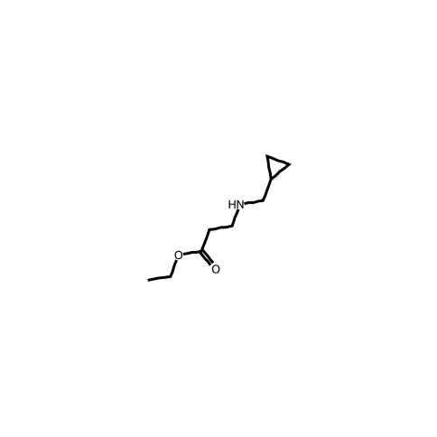 CCOC(=O)CCNCC1CC1